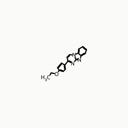 CCOc1ccc(-c2ccn3c(n2)nc2ccccc23)cc1